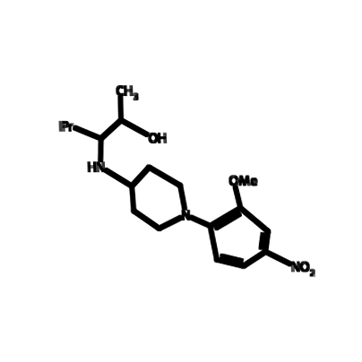 COc1cc([N+](=O)[O-])ccc1N1CCC(NC(C(C)C)C(C)O)CC1